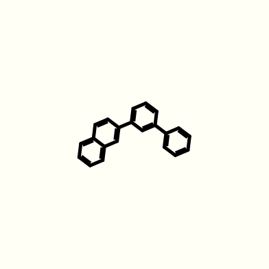 c1ccc(-c2cccc(-c3ccc4ccccc4c3)c2)cc1